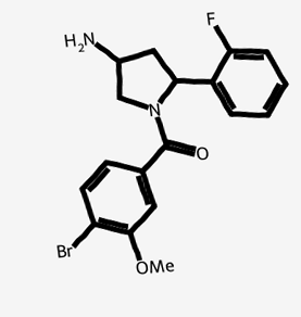 COc1cc(C(=O)N2CC(N)CC2c2ccccc2F)ccc1Br